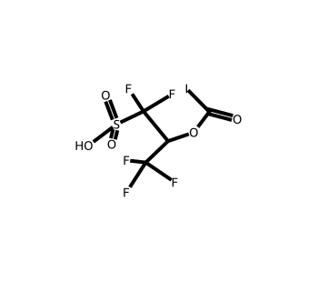 O=C(I)OC(C(F)(F)F)C(F)(F)S(=O)(=O)O